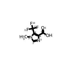 Cn1cnc(C(=O)O)c1C(F)(F)F